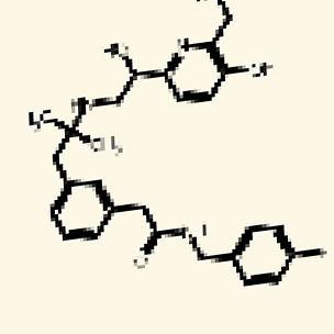 CC(C)(Cc1cccc(CC(=O)NCc2ccc(F)cc2)c1)NCC(O)c1ccc(O)c(CO)n1